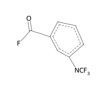 O=C(F)c1cccc(NC(F)(F)F)c1